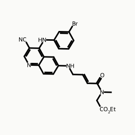 CCOC(=O)CN(C)C(=O)C=CCNc1ccc2ncc(C#N)c(Nc3cccc(Br)c3)c2c1